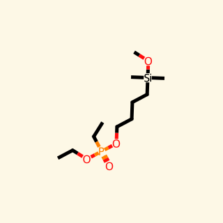 CCOP(=O)(CC)OCCCC[Si](C)(C)OC